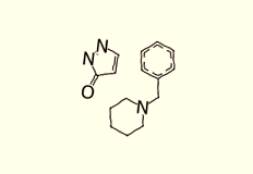 O=C1C=CN=N1.c1ccc(CN2CCCCC2)cc1